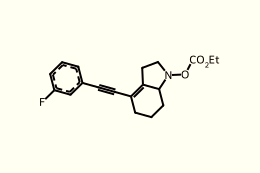 CCOC(=O)ON1CCC2=C(C#Cc3cccc(F)c3)CCCC21